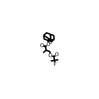 CC(COC(=O)C(C)(C)F)C(=O)OC12CC3CC(C1)C(=O)C(C3)C2